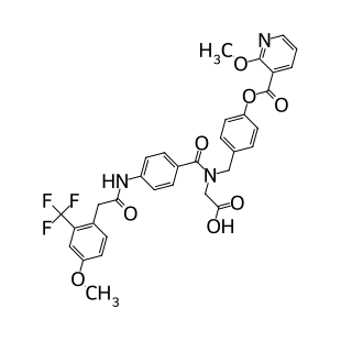 COc1ccc(CC(=O)Nc2ccc(C(=O)N(CC(=O)O)Cc3ccc(OC(=O)c4cccnc4OC)cc3)cc2)c(C(F)(F)F)c1